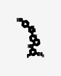 Cc1cc(F)cc(Nc2cccc3nc(-c4cn(-c5ccc(O)cc5)nn4)ccc23)c1